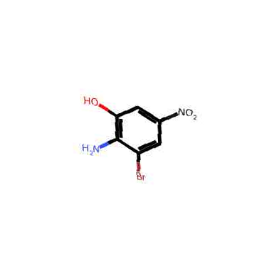 Nc1c(O)cc([N+](=O)[O-])cc1Br